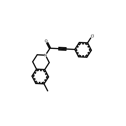 Cc1ccc2c(c1)CN(C(=O)C#Cc1cccc(Cl)c1)CC2